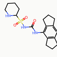 O=C(Nc1c2c(cc3c1CCC3)CCC2)NS(=O)(=O)C1CCCCN1